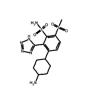 CS(=O)(=O)c1ccc(C2CCC(N)CC2)c(-c2nnn[nH]2)c1S(N)(=O)=O